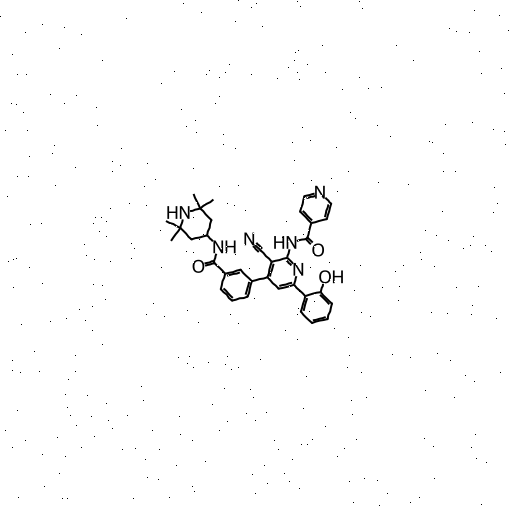 CC1(C)CC(NC(=O)c2cccc(-c3cc(-c4ccccc4O)nc(NC(=O)c4ccncc4)c3C#N)c2)CC(C)(C)N1